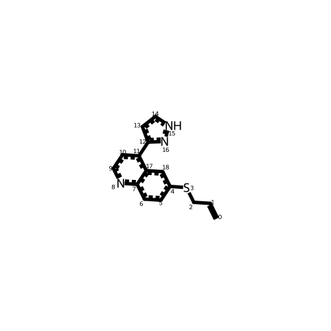 C=CCSc1ccc2nccc(-c3cc[nH]n3)c2c1